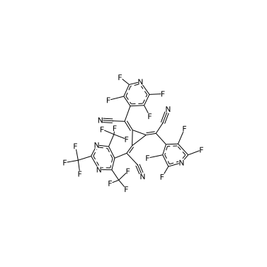 N#CC(=C1C(=C(\C#N)c2c(C(F)(F)F)nc(C(F)(F)F)nc2C(F)(F)F)/C1=C(\C#N)c1c(F)c(F)nc(F)c1F)c1c(F)c(F)nc(F)c1F